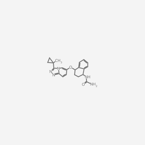 CC1(c2nnc3ccc(OC4CCC(NC(N)=O)c5ccccc54)cn23)CC1